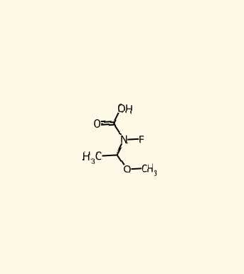 COC(C)N(F)C(=O)O